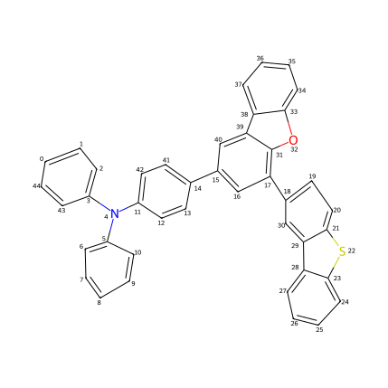 c1ccc(N(c2ccccc2)c2ccc(-c3cc(-c4ccc5sc6ccccc6c5c4)c4oc5ccccc5c4c3)cc2)cc1